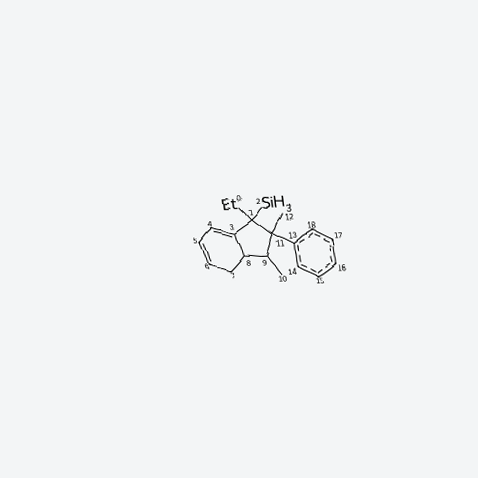 CCC1([SiH3])C2=CC=CCC2C(C)C1(C)c1ccccc1